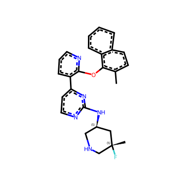 Cc1ccc2ccccc2c1Oc1ncccc1-c1ccnc(N[C@@H]2CNC[C@@](C)(F)C2)n1